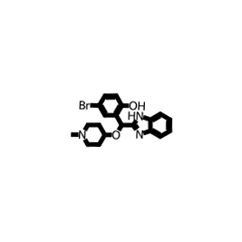 CN1CCC(OC(c2nc3ccccc3[nH]2)c2cc(Br)ccc2O)CC1